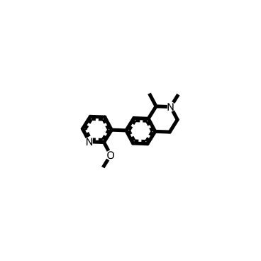 COc1ncccc1-c1ccc2c(c1)C(C)N(C)CC2